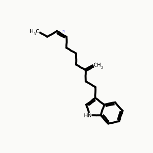 C=C(CCC/C=C\CC)CCc1c[nH]c2ccccc12